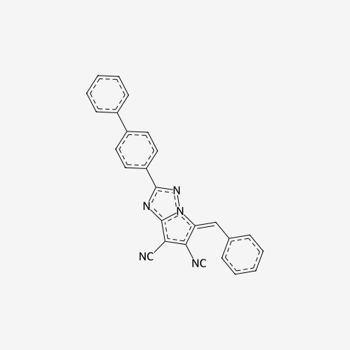 [C-]#[N+]c1c(C#N)c2nc(-c3ccc(-c4ccccc4)cc3)nn2/c1=C/c1ccccc1